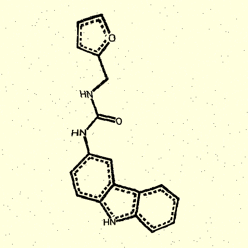 O=C(NCc1ccco1)Nc1ccc2[nH]c3ccccc3c2c1